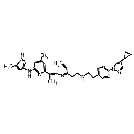 C=C/C(CCNCCc1ccc(-n2cc(C3CC3)cn2)nc1)=N\C=C(/C)c1nc(C)cc(Nc2cc(C)[nH]n2)n1